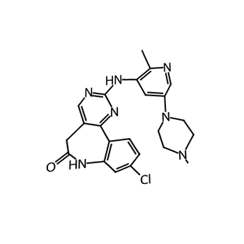 Cc1ncc(N2CCN(C)CC2)cc1Nc1ncc2c(n1)-c1ccc(Cl)cc1NC(=O)C2